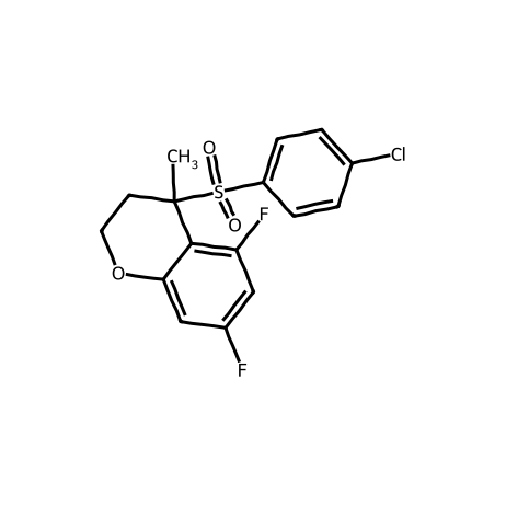 CC1(S(=O)(=O)c2ccc(Cl)cc2)CCOc2cc(F)cc(F)c21